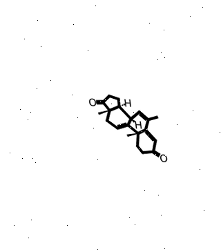 CC1=C[C@@H]2C(=CC[C@]3(C)C(=O)CC[C@@H]23)[C@@]2(C)CCC(=O)C=C12